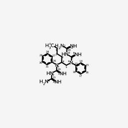 CCCCC(CN(C(=N)NC(=N)N)c1ccccc1)N(C(=N)NC(=N)N)c1ccccc1